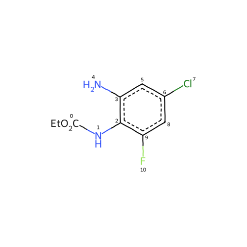 CCOC(=O)Nc1c(N)cc(Cl)cc1F